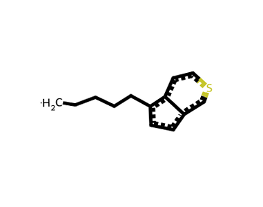 [CH2]CCCCc1ccc2csccc1-2